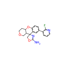 NC1=NC2(CO1)c1cc(-c3cccnc3F)ccc1OC1CCOCC12